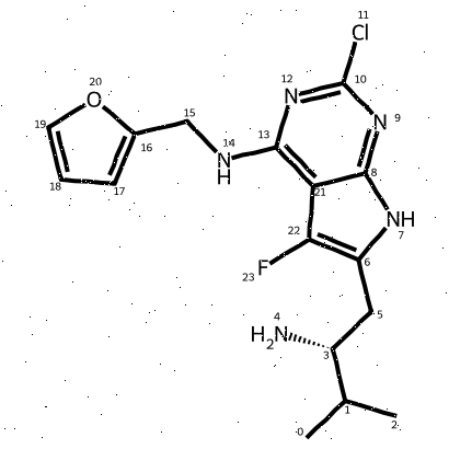 CC(C)[C@H](N)Cc1[nH]c2nc(Cl)nc(NCc3ccco3)c2c1F